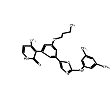 Cc1cc(C)cc(Nc2ncc(-c3cc(OCCCO)cc(-c4c(C)cc[nH]c4=O)c3)o2)c1